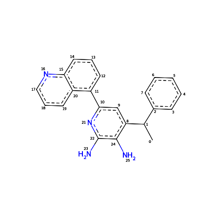 CC(c1ccccc1)c1cc(-c2cccc3ncccc23)nc(N)c1N